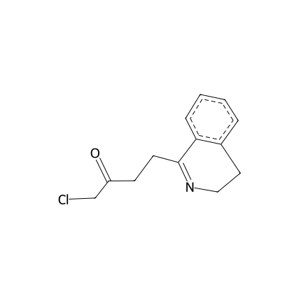 O=C(CCl)CCC1=NCCc2ccccc21